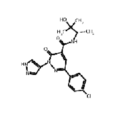 C[C@H](NC(=O)c1cc(-c2ccc(Cl)cc2)nn(-c2cn[nH]c2)c1=O)C(C)(C)O